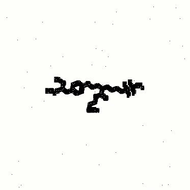 CCOC(Cc1ccc(OCCN(CCCCC(F)(F)C(F)(F)C(F)(F)F)C(=O)OCCOC)cc1)C(=O)O